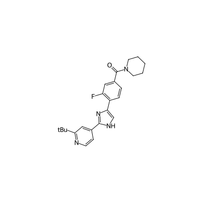 CC(C)(C)c1cc(-c2nc(-c3ccc(C(=O)N4CCCCC4)cc3F)c[nH]2)ccn1